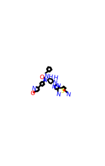 Cn1cc(-c2ccc(N(C(=O)NCc3ccccc3)[C@H]3CC[C@@H](Nc4ncc(C#N)c(-c5ccc(C#N)s5)n4)CC3)cc2)ccc1=O